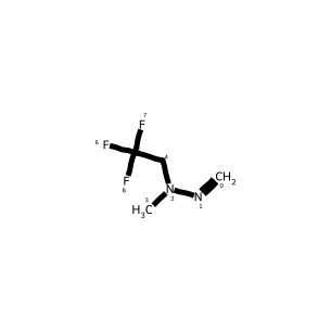 C=NN(C)CC(F)(F)F